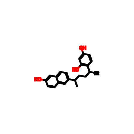 CCC(CCC(C)c1ccc2cc(O)ccc2c1)c1ccc(O)cc1O